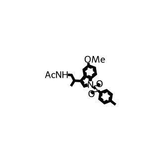 COc1ccc2c(c1)c(C(C)CNC(C)=O)cn2S(=O)(=O)c1ccc(C)cc1